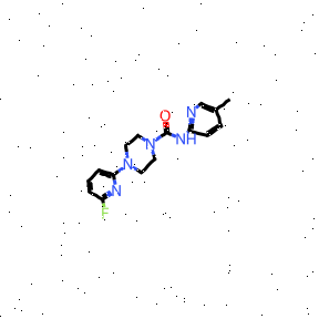 Cc1ccc(NC(=O)N2CCN(c3cccc(F)n3)CC2)nc1